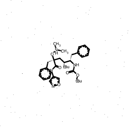 C[SiH](C)O[C@@](Cc1ccccc1)(C[C@H]([C@H](Cc1ccccc1)NC(=O)OC(C)(C)C)C(C)(C)C)C(=O)Nc1cnoc1